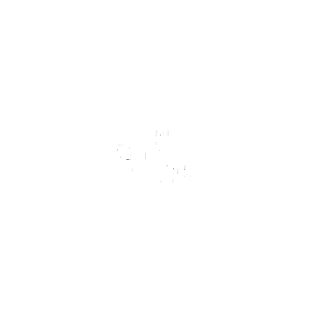 CCCCN(C(=O)OC(C)(C)C)C(=O)C(C)C[C@H](O)[C@@H](N)C[C@H](Cc1ccc(C(C)(C)C)c(O)c1)C(C)C